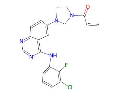 C=CC(=O)N1CCN(c2ccc3ncnc(Nc4cccc(Cl)c4F)c3c2)C1